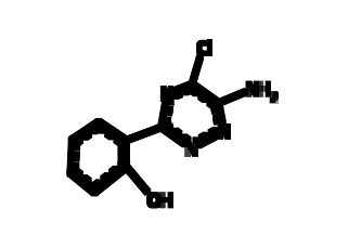 Nc1nnc(-c2ccccc2O)nc1Cl